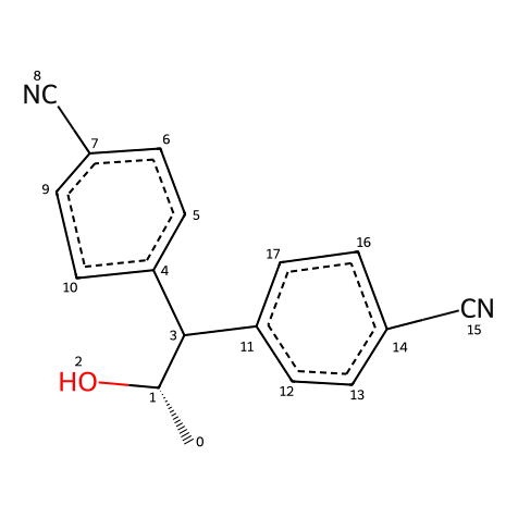 C[C@H](O)C(c1ccc(C#N)cc1)c1ccc(C#N)cc1